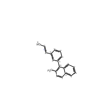 Cc1ccc2ccccc2c1-c1cccc(/C=C/O)c1